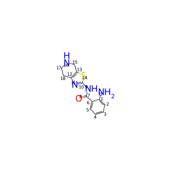 Nc1ccccc1C(=O)Nc1nc2c(s1)CNCC2